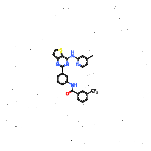 Cc1ccnc(Nc2nc(-c3cccc(NC(=O)c4cccc(C(F)(F)F)c4)c3)nc3ccsc23)c1